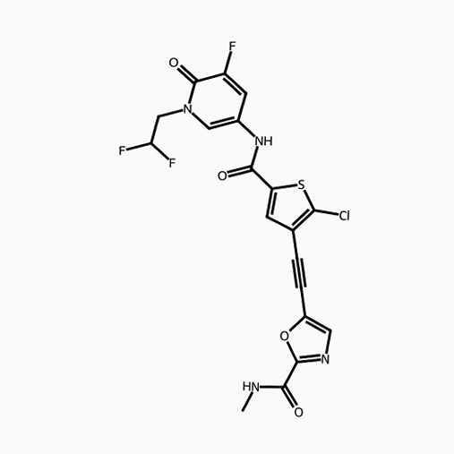 CNC(=O)c1ncc(C#Cc2cc(C(=O)Nc3cc(F)c(=O)n(CC(F)F)c3)sc2Cl)o1